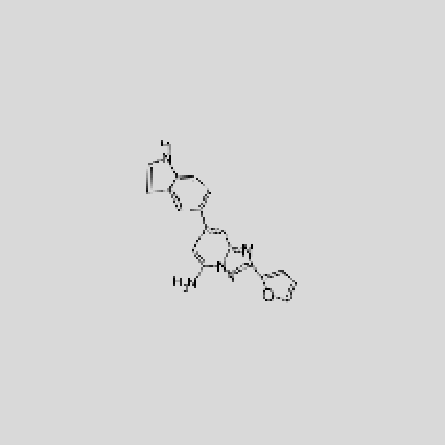 Nc1cc(-c2ccc3[nH]ccc3c2)cc2nc(-c3ccco3)nn12